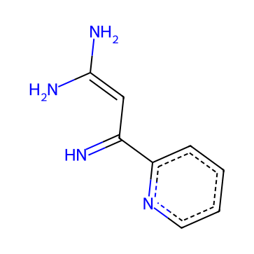 N=C(C=C(N)N)c1ccccn1